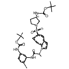 Cc1ccc(NC(=O)OC(C)(C)C)cc1NC(=O)C(C)n1ccc2cc(S(=O)(=O)N3CC[C@@H](NC(=O)OC(C)(C)C)C3)ccc21